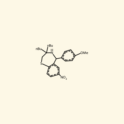 CCCCC1(CCCC)CSc2ccc([N+](=O)[O-])cc2C(c2ccc(OC)cc2)N1